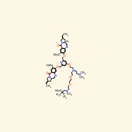 C/C=C1\CC2C=Nc3cc(OCc4cc(OCCN(CCOCCOCCN(C)CC(C)(C)SC)CCN(C)C)cc(COc5cc6c(cc5OC)C(=O)N5C/C(=C/C)C[C@H]5C=N6)n4)c(OC)cc3C(=O)N2C1